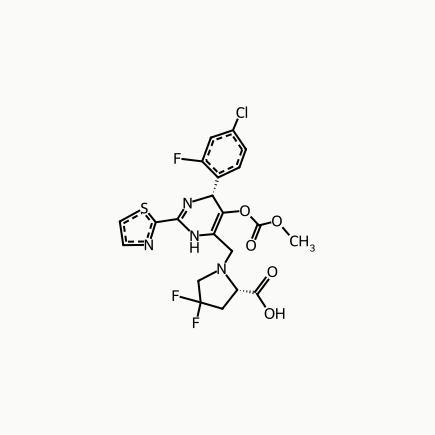 COC(=O)OC1=C(CN2CC(F)(F)C[C@H]2C(=O)O)NC(c2nccs2)=N[C@@H]1c1ccc(Cl)cc1F